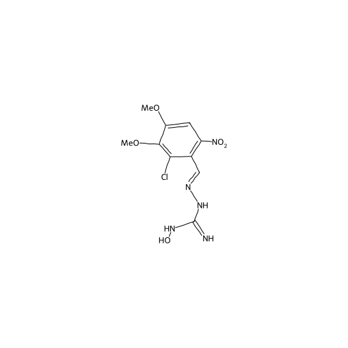 COc1cc([N+](=O)[O-])c(/C=N/NC(=N)NO)c(Cl)c1OC